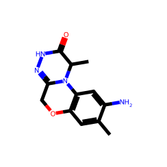 Cc1cc2c(cc1N)N1C(=NNC(=O)C1C)CO2